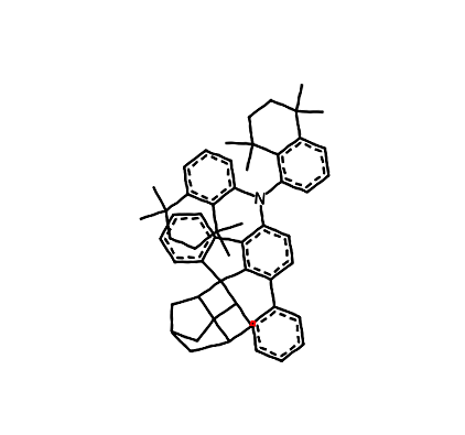 CC1(C)CCC(C)(C)c2c(N(c3ccc(-c4ccccc4)c4c3-c3ccccc3C43C4CC5CC6CC3C64C5)c3cccc4c3C(C)(C)CCC4(C)C)cccc21